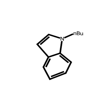 [CH2]CCCn1ccc2ccccc21